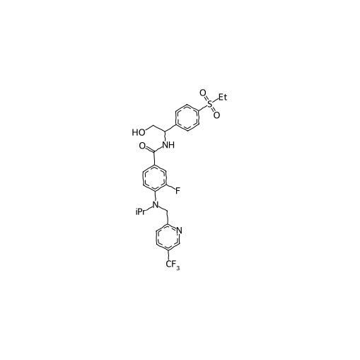 CCS(=O)(=O)c1ccc(C(CO)NC(=O)c2ccc(N(Cc3ccc(C(F)(F)F)cn3)C(C)C)c(F)c2)cc1